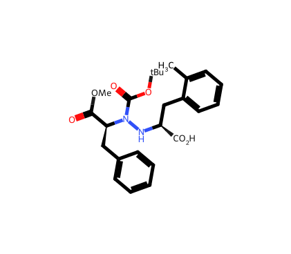 COC(=O)[C@H](Cc1ccccc1)N(N[C@@H](Cc1ccccc1C)C(=O)O)C(=O)OC(C)(C)C